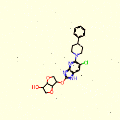 OC1COC2C(Oc3nc4nc(N5CCC(c6ccccc6)CC5)c(Cl)cc4[nH]3)COC12